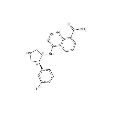 NC(=O)c1cccc2c(N[C@H]3CNC[C@@H]3c3cccc(F)c3)ncnc12